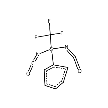 O=C=NS(N=C=O)(c1ccccc1)C(F)(F)F